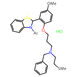 COc1ccc(OCCCN(CCSC)Cc2ccccc2)c(C2Sc3ccccc3N2C(C)=O)c1.Cl